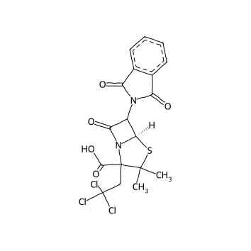 CC1(C)S[C@@H]2C(N3C(=O)c4ccccc4C3=O)C(=O)N2C1(CC(Cl)(Cl)Cl)C(=O)O